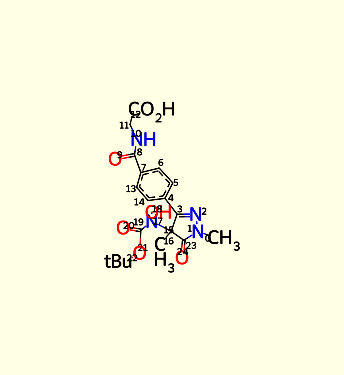 CN1N=C(c2ccc(C(=O)NCC(=O)O)cc2)C(C)(N(O)C(=O)OC(C)(C)C)C1=O